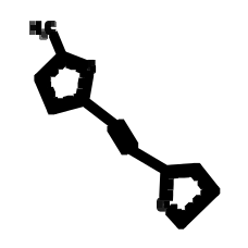 Cc1ccc(C#Cc2ccco2)s1